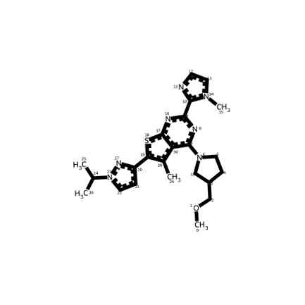 COCC1CCN(c2nc(-c3nccn3C)nc3sc(-c4ccn(C(C)C)n4)c(C)c23)C1